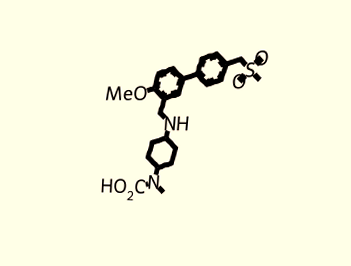 COc1ccc(-c2ccc(CS(C)(=O)=O)cc2)cc1CNC1CCC(N(C)C(=O)O)CC1